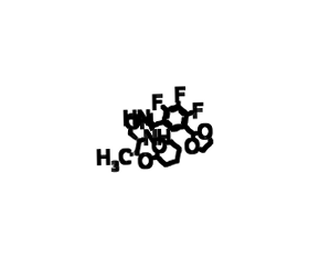 C[C@@H](OC1CCCCO1)[C@@H](CO)NC(=N)c1cc(C2OCCO2)c(F)c(F)c1F